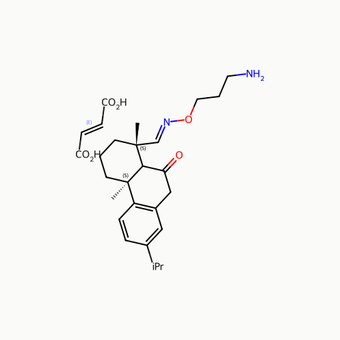 CC(C)c1ccc2c(c1)CC(=O)C1[C@@](C)(C=NOCCCN)CCC[C@]21C.O=C(O)/C=C/C(=O)O